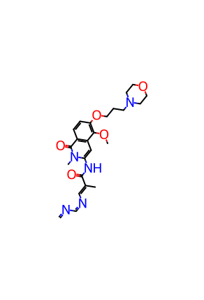 C=N/C=N\C=C(/C)C(=O)Nc1cc2c(OC)c(OCCCN3CCOCC3)ccc2c(=O)n1C